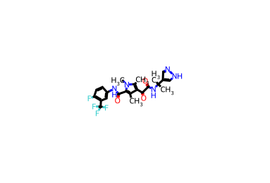 Cc1c(C(=O)C(=O)NC(C)(C)c2cn[nH]c2)c(C)n(C)c1C(=O)Nc1ccc(F)c(C(F)(F)F)c1